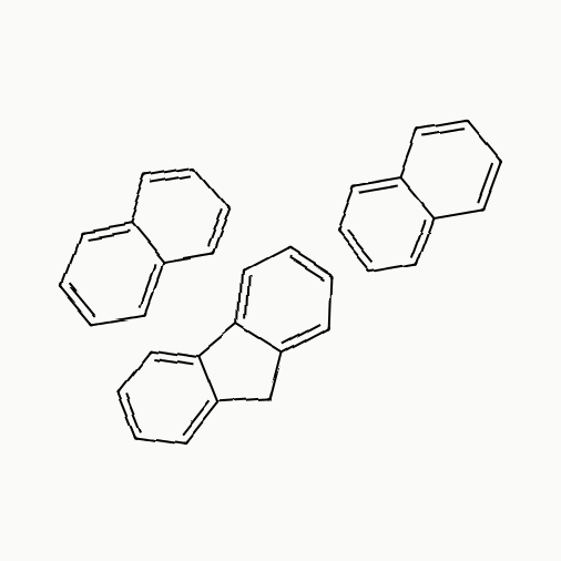 c1ccc2c(c1)Cc1ccccc1-2.c1ccc2ccccc2c1.c1ccc2ccccc2c1